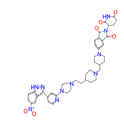 O=C1CCC(N2C(=O)c3ccc(N4CCC(CN5CCC(CCN6CCN(c7cc(-c8n[nH]c9ccc([N+](=O)[O-])cc89)ccn7)CC6)CC5)CC4)cc3C2=O)C(=O)N1